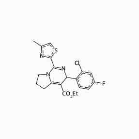 CCOC(=O)C1=C2CCCN2C(c2nc(C)cs2)=NC1c1ccc(F)cc1Cl